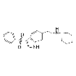 O=S(=O)(c1ccccc1)c1c[nH]c2cc(CCNC3CCCCC3)ccc12